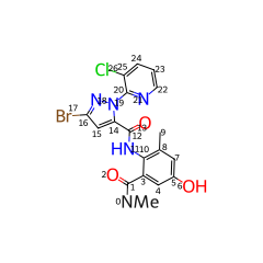 CNC(=O)c1cc(O)cc(C)c1NC(=O)c1cc(Br)nn1-c1ncccc1Cl